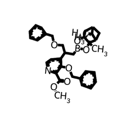 COC(=O)c1nccc(C(COCc2ccccc2)CB2OC3CC4CC(C4(C)C)C3(C)O2)c1OCc1ccccc1